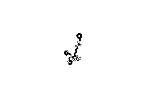 CS(=O)(=O)OC(CCCCNC(=O)OCc1ccccc1)C(=O)N(Cc1cccs1)Cc1cccs1